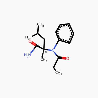 CCC(=O)N(c1ccccc1)[C@@](C)(CC(C)C)C(N)=O